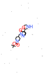 CC(C)(C)OC(=O)N1CCC(Cn2nccc(C3CNCCO3)c2=O)CC1